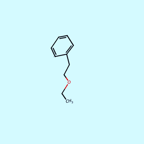 CCOCCc1[c]cccc1